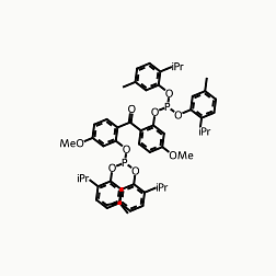 COc1ccc(C(=O)c2ccc(OC)cc2OP(Oc2cc(C)ccc2C(C)C)Oc2cc(C)ccc2C(C)C)c(OP(Oc2cc(C)ccc2C(C)C)Oc2cc(C)ccc2C(C)C)c1